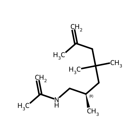 C=C(C)CC(C)(C)C[C@@H](C)CNC(=C)C